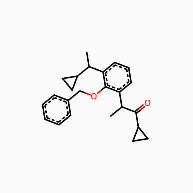 CC(C(=O)C1CC1)c1cccc(C(C)C2CC2)c1OCc1ccccc1